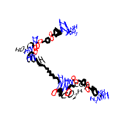 N=C(N)Nc1ccc(C(=O)Oc2ccc(COC(=O)NC(CC(=O)O)C(=O)NC(CC(=O)O)C(=O)NCCCCCCCCCCCCNC(=O)C(CC(=O)O)NC(=O)C(CC(=O)O)NC(=O)OCc3ccc(OC(=O)c4ccc(NC(=N)N)cc4)cc3)cc2)cc1